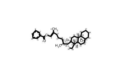 CC(=COC(=O)c1ccccc1)CCC[C@@H](C)[C@H]1CC[C@H]2[C@@H]3CCC4CCCC[C@]4(C)[C@H]3CC[C@]12C